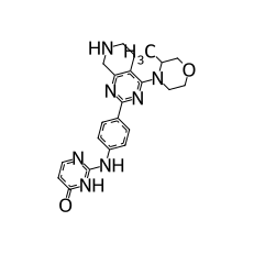 CC1COCCN1c1nc(-c2ccc(Nc3nccc(=O)[nH]3)cc2)nc2c1CCNC2